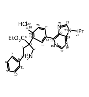 CCOC(=O)C(CN)(CCc1ccccc1)c1cc(-c2ncnc3c2ncn3C(C)C)ccc1F.Cl